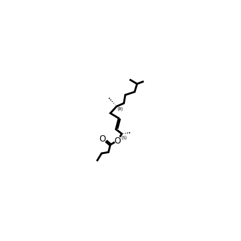 CCCC(=O)O[C@@H](C)C=CC[C@H](C)CCCC(C)C